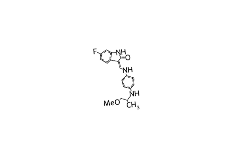 COCC(C)Nc1ccc(NC=C2C(=O)Nc3cc(F)ccc32)cc1